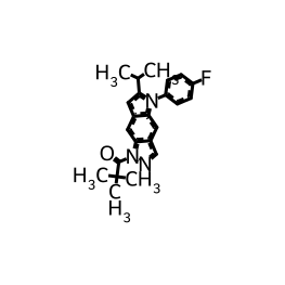 CC(C)c1cc2cc3c(cnn3C(=O)C(C)(C)C)cc2n1-c1ccc(F)cc1